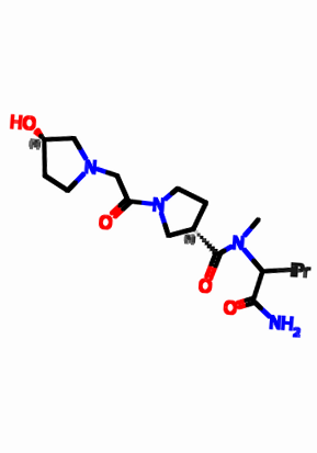 CC(C)C(C(N)=O)N(C)C(=O)[C@H]1CCN(C(=O)CN2CC[C@@H](O)C2)C1